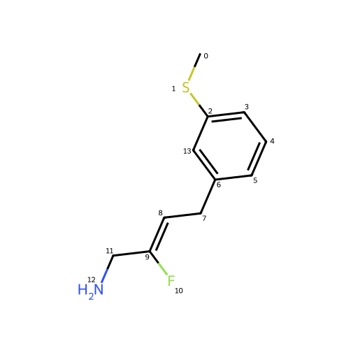 CSc1cccc(CC=C(F)CN)c1